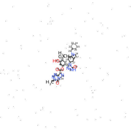 CC(C)c1cc(-c2n[nH]c(=O)n2-c2ccc3c(ccn3CC3CCCCC3)c2)c(OC(=O)c2ncn3c(=O)n(C)nnc23)cc1O